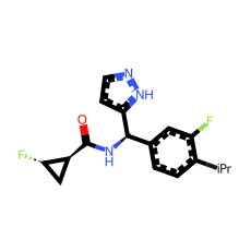 CC(C)c1ccc([C@@H](NC(=O)[C@H]2C[C@@H]2F)c2ccn[nH]2)cc1F